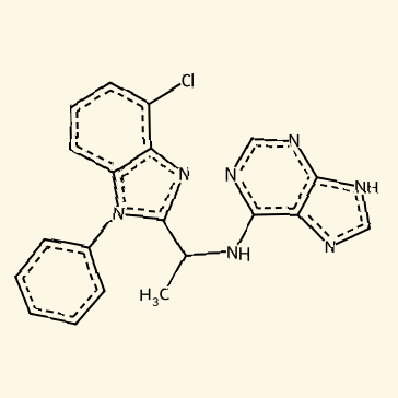 CC(Nc1ncnc2[nH]cnc12)c1nc2c(Cl)cccc2n1-c1ccccc1